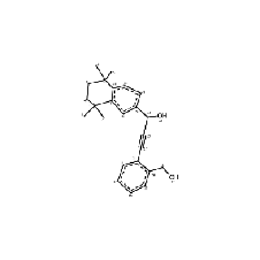 CC1(C)CCC(C)(C)c2cc(C(O)C#Cc3ccccc3CO)ccc21